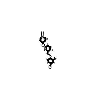 Fc1cc(Cl)ccc1SCc1cccc(OC2CCNCC2)n1